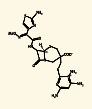 CON=C(C(=O)NC1C(=O)N2CC(CSc3nc(N)cc(N)[n+]3N)(C(=O)[O-])CS[C@H]12)c1csc(N)n1